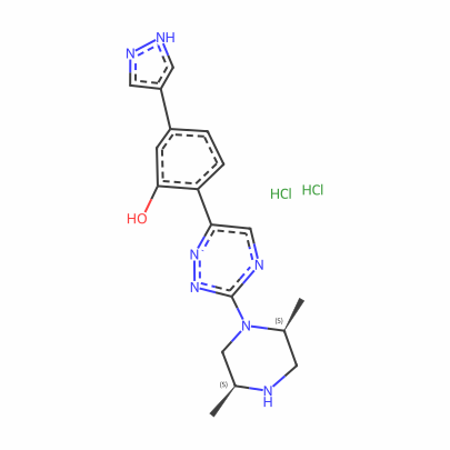 C[C@H]1CN(c2ncc(-c3ccc(-c4cn[nH]c4)cc3O)nn2)[C@@H](C)CN1.Cl.Cl